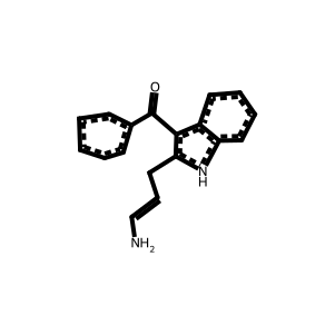 NC=CCc1[nH]c2ccccc2c1C(=O)c1ccccc1